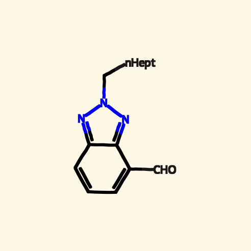 CCCCCCCCn1nc2cccc(C=O)c2n1